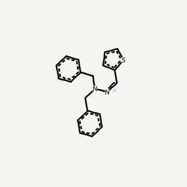 C(=N/N(Cc1ccccc1)Cc1ccccc1)/c1cccs1